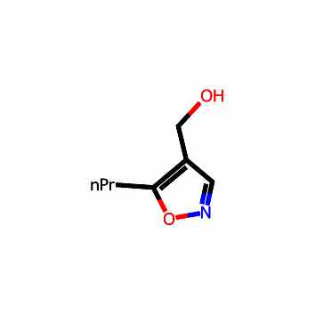 CCCc1oncc1CO